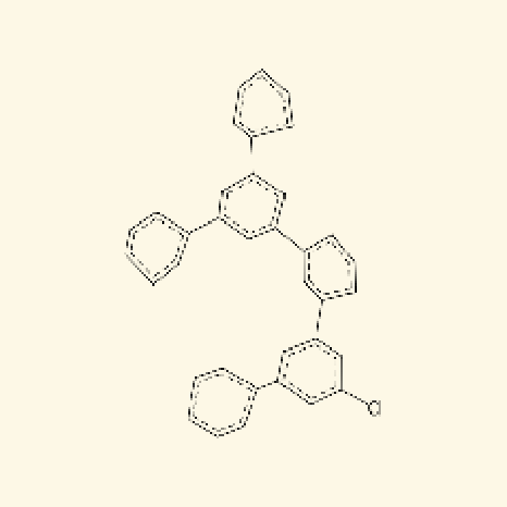 Clc1cc(-c2ccccc2)cc(-c2cccc(-c3cc(-c4ccccc4)cc(-c4ccccc4)c3)c2)c1